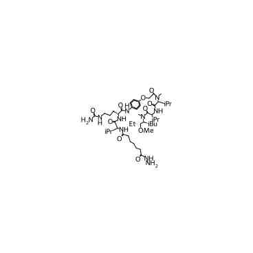 CC[C@H](C)[C@@H]([C@@H](CC)OC)N(C)C(=O)[C@@H](NC(=O)C(C(C)C)N(C)C(=O)COc1ccc(NC(=O)[C@H](CCCNC(N)=O)NC(=O)C(NC(=O)CCCCCC(=O)NN)C(C)C)cc1)C(C)C